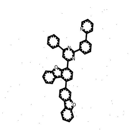 c1ccc(-c2cc(-c3ccc(-c4ccc5c(c4)oc4ccccc45)c4c3oc3ccccc34)nc(-c3cccc(-c4ccccn4)c3)n2)cc1